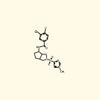 Cn1cnc(S(=O)(=O)N2CC3CCC(NC(=O)c4ccc(Cl)c(Cl)c4)C3C2)c1